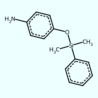 C[Si](C)(Oc1ccc(N)cc1)c1ccccc1